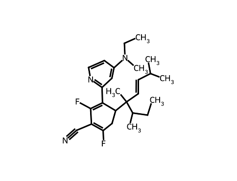 CCC(C)C(C)(C=CC(C)C)C1CC(F)=C(C#N)C(F)=C1c1cc(N(C)CC)ccn1